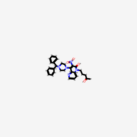 CC(=O)CCCn1c(=O)c([N+](=O)[O-])c(N2CCN(C(c3ccccc3)c3ccccc3)CC2)c2ncccc21